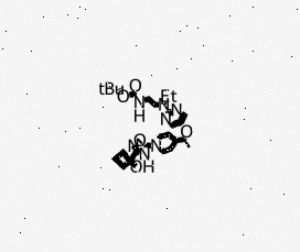 CCN(CCNC(=O)OC(C)(C)C)c1ncc(O[C@@H](C)C2CCN(c3nc(C4(O)CCC4)no3)CC2)cn1